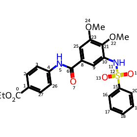 CCOC(=O)c1ccc(NC(=O)c2cc(NS(=O)(=O)c3ccccc3)c(OC)c(OC)c2)cc1